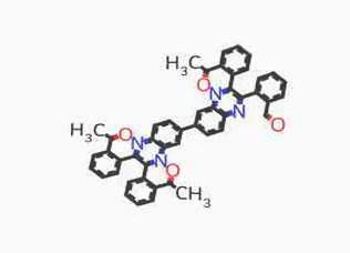 CC(=O)c1ccccc1-c1nc2cc(-c3ccc4nc(-c5ccccc5C(C)=O)c(-c5ccccc5C(C)=O)nc4c3)ccc2nc1-c1ccccc1C=O